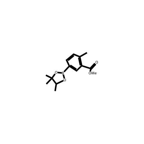 COC(=O)c1cc(B2OC(C)C(C)(C)O2)ccc1C